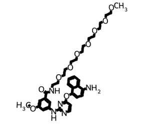 COCCOCCOCCOCCOCCOCCOCCNC(=O)c1cc(Nc2nccc(Oc3ccc(N)c4ccccc34)n2)cc(OC)c1